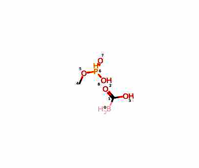 BC(=O)O.CO[PH](=O)O